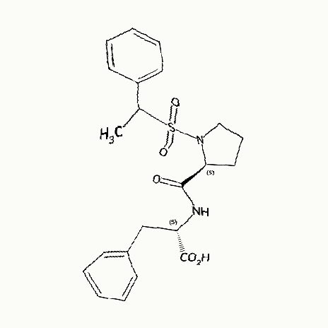 CC(c1ccccc1)S(=O)(=O)N1CCC[C@H]1C(=O)N[C@@H](Cc1ccccc1)C(=O)O